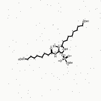 CCCCCCCCCCCCCCCCCCC1=[N+](CC)C(NC(=O)CCCCCCCCCCCCCCCCC)CN1.COS(=O)(=O)[O-]